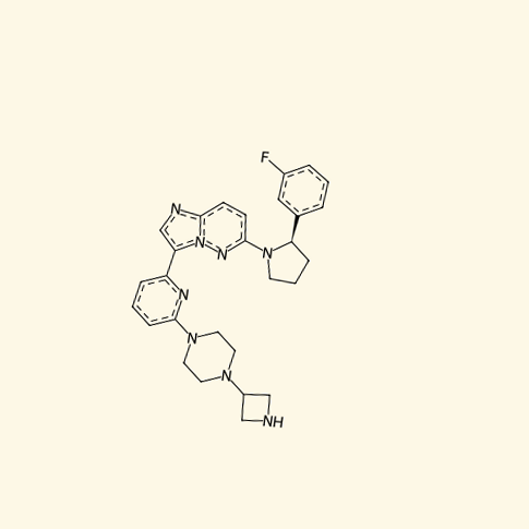 Fc1cccc([C@H]2CCCN2c2ccc3ncc(-c4cccc(N5CCN(C6CNC6)CC5)n4)n3n2)c1